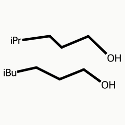 CC(C)CCCO.CCC(C)CCCO